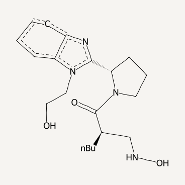 CCCC[C@H](CNO)C(=O)N1CCC[C@H]1c1nc2ccccc2n1CCO